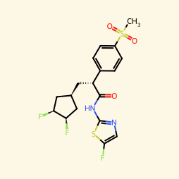 CS(=O)(=O)c1ccc([C@@H](C[C@H]2C[C@@H](F)[C@@H](F)C2)C(=O)Nc2ncc(F)s2)cc1